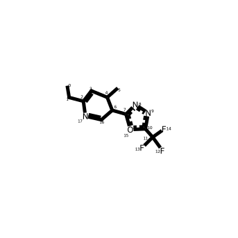 CCC1=CC(C)C(c2nnc(C(F)(F)F)o2)C=N1